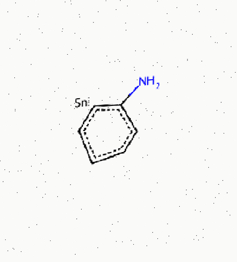 Nc1ccccc1.[Sn]